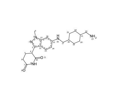 Cn1nc(C2CCC(=O)NC2=O)c2ccc(NCC3CCC(CN)CC3)cc21